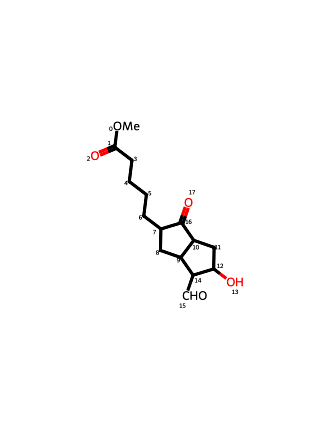 COC(=O)CCCCC1CC2C(CC(O)C2C=O)C1=O